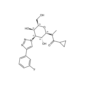 CN(C(=O)C1CC1)[C@@H]1O[C@H](CO)[C@H](O)[C@H](n2cc(-c3cccc(F)c3)nn2)[C@H]1O